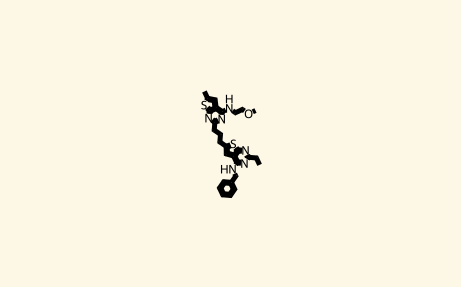 CCc1nc(NCc2ccccc2)c2cc(CCCc3nc(NCCOC)c4cc(C)sc4n3)sc2n1